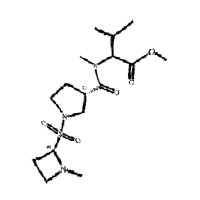 COC(=O)C(C(C)C)N(C)C(=O)[C@H]1CCN(S(=O)(=O)[C@@H]2CCN2C)C1